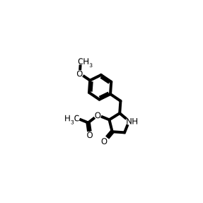 COc1ccc(CC2NCC(=O)C2OC(C)=O)cc1